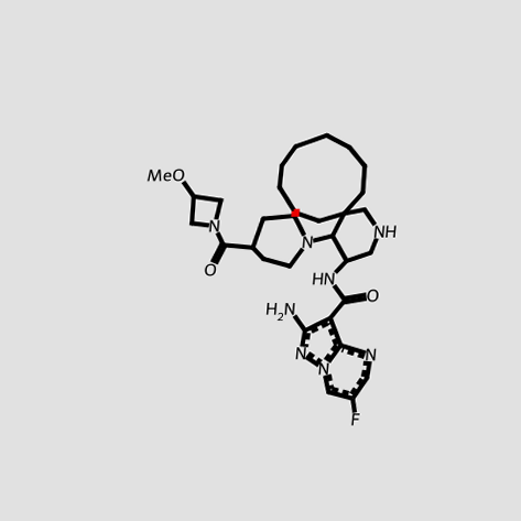 COC1CN(C(=O)C2CCN(C3C(NC(=O)c4c(N)nn5cc(F)cnc45)CNCC34CCCCCCCCC4)CC2)C1